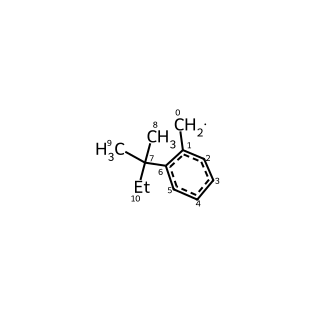 [CH2]c1ccccc1C(C)(C)CC